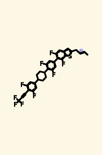 C/C=C/Cc1cc2cc(F)c(-c3cc(F)c(C4CCC(c5cc(F)c(C#CC(F)(F)F)c(F)c5)CC4)c(F)c3)c(F)c2s1